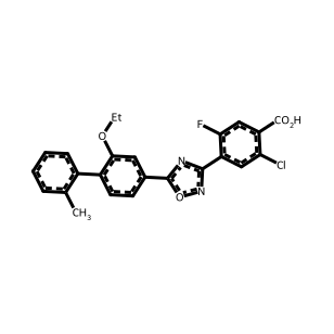 CCOc1cc(-c2nc(-c3cc(Cl)c(C(=O)O)cc3F)no2)ccc1-c1ccccc1C